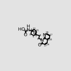 O=C(O)NC12CCC(CCn3c(=O)ccc4cccnc43)(CC1)OC2